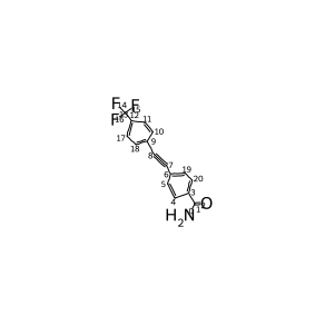 NC(=O)c1ccc(C#Cc2ccc(C(F)(F)F)cc2)cc1